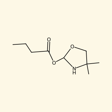 CCCC(=O)OC1NC(C)(C)CO1